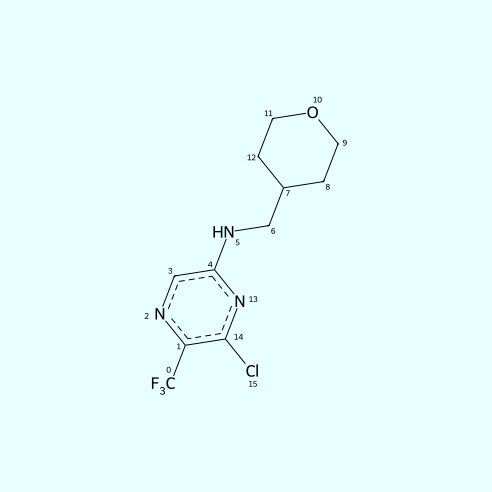 FC(F)(F)c1ncc(NCC2CCOCC2)nc1Cl